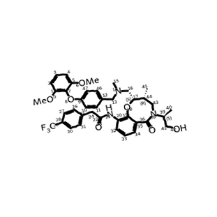 COc1cccc(OC)c1Oc1ccc(CN(C)C[C@H]2Oc3c(NC(=O)Cc4ccc(C(F)(F)F)cc4)cccc3C(=O)N([C@@H](C)CO)C[C@H]2C)cc1